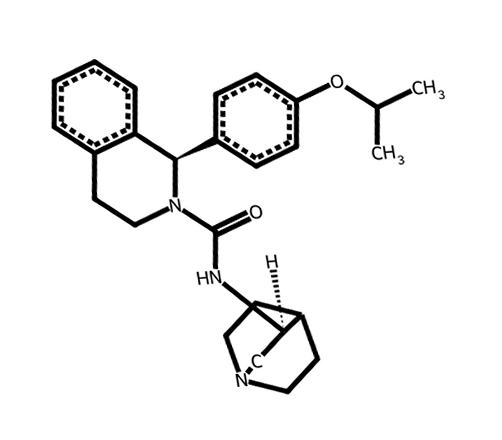 CC(C)Oc1ccc([C@@H]2c3ccccc3CCN2C(=O)N[C@@H]2CN3CCC2CC3)cc1